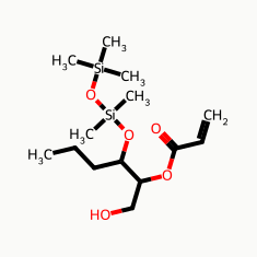 C=CC(=O)OC(CO)C(CCC)O[Si](C)(C)O[Si](C)(C)C